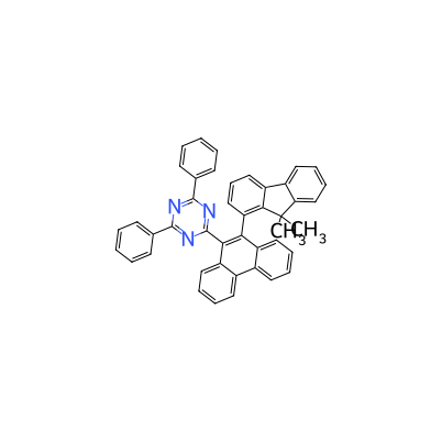 CC1(C)c2ccccc2-c2cccc(-c3c(-c4nc(-c5ccccc5)nc(-c5ccccc5)n4)c4ccccc4c4ccccc34)c21